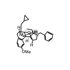 COc1ccc2c(c1)[C@]13[C@H]4[C@H]5CC[C@@]1(O[C@@H]4CN5Cc1ccccc1)[C@@H](C2)N(CC1CC1)C[C@@H]3O